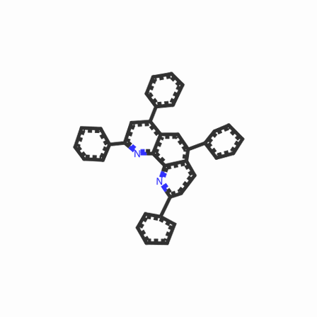 c1ccc(-c2ccc3c(-c4ccccc4)cc4c(-c5ccccc5)cc(-c5ccccc5)nc4c3n2)cc1